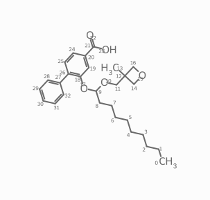 CCCCCCCCCC(OCC1(C)COC1)Oc1cc(C(=O)O)ccc1-c1ccccc1